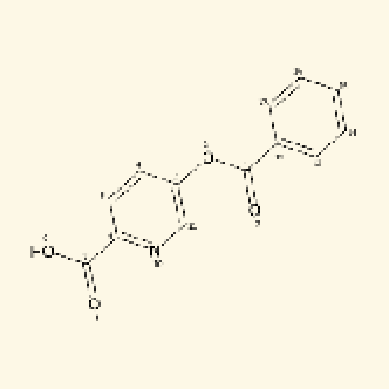 O=C(Oc1ccc(C(=O)O)nc1)c1ccccc1